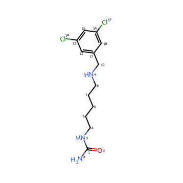 NC(=O)NCCCCCNCc1cc(Cl)cc(Cl)c1